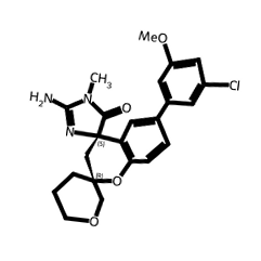 COc1cc(Cl)cc(-c2ccc3c(c2)[C@]2(C[C@@]4(CCCOC4)O3)N=C(N)N(C)C2=O)c1